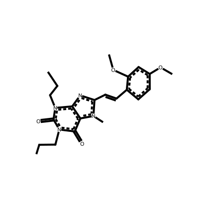 CCCn1c(=O)c2c(nc(C=Cc3ccc(OC)cc3OC)n2C)n(CCC)c1=O